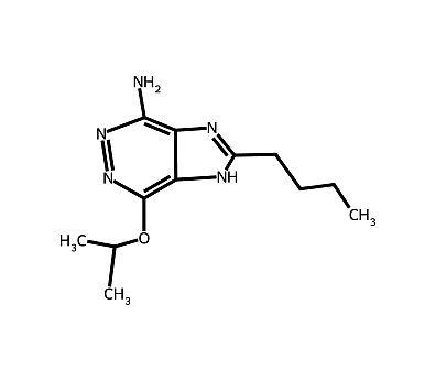 CCCCc1nc2c(N)nnc(OC(C)C)c2[nH]1